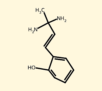 CC(N)(N)C=Cc1ccccc1O